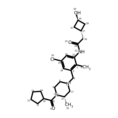 Cc1c(CN2CCN(C(=O)C3CCCC3)[C@@H](C)C2)cc(Cl)cc1NC(=O)C[C@H]1C[C@H](O)C1